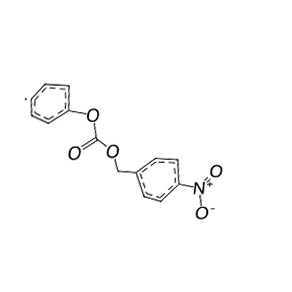 O=C(OCc1ccc([N+](=O)[O-])cc1)Oc1cc[c]cc1